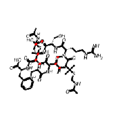 CC(=O)NCSC(C)(C)[C@H](NC(=O)[C@H](CC(C)C)NC(=O)[C@@H](NC(=O)[C@H](CC(=O)O)NC(=O)[C@H](CO)NC(=O)[C@H](CCCNC(=N)N)N(C)C(=O)[C@@H](NC(C)=O)C(C)(C)SCNC(C)=O)[C@@H](C)O)C(=O)N[C@@H](Cc1ccccc1)C(=O)O